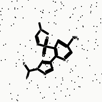 CN(C)/C=N\S(=O)(=O)c1cc(N)cnc1-c1cnn(C(F)F)c1